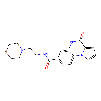 O=C(NCCN1CCSCC1)c1ccc2c(c1)[nH]c(=O)c1cccn12